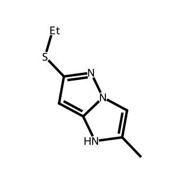 CCSc1cc2[nH]c(C)cn2n1